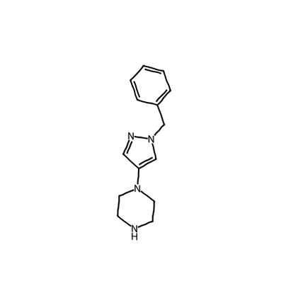 c1ccc(Cn2cc(N3CCNCC3)cn2)cc1